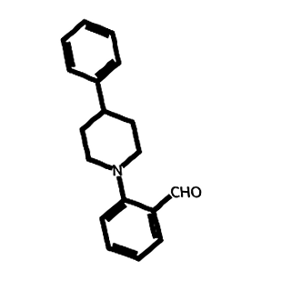 O=Cc1ccccc1N1CCC(c2ccccc2)CC1